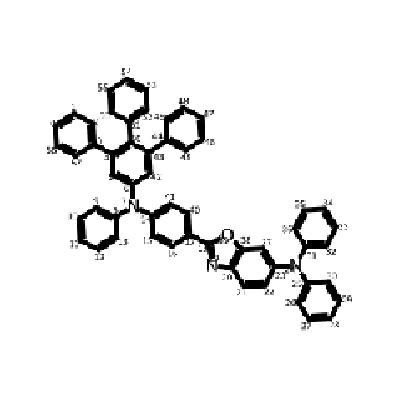 c1ccc(-c2cc(N(c3ccccc3)c3ccc(-c4nc5ccc(N(c6ccccc6)c6ccccc6)cc5o4)cc3)cc(-c3ccccc3)c2-c2ccccc2)cc1